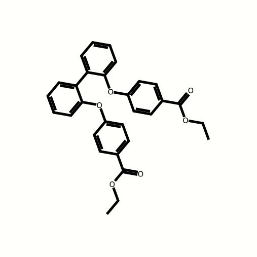 CCOC(=O)c1ccc(Oc2ccccc2-c2ccccc2Oc2ccc(C(=O)OCC)cc2)cc1